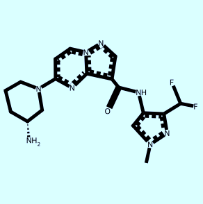 Cn1cc(NC(=O)c2cnn3ccc(N4CCC[C@@H](N)C4)nc23)c(C(F)F)n1